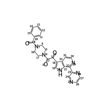 O=C(C(=O)N1CCN(C(=O)c2ccccc2)CC1)c1c[nH]c2c(-c3cnccn3)nccc12